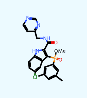 COP(=O)(c1cc(C)cc(C)c1)c1c(C(=O)NCc2ccncn2)[nH]c2ccc(Cl)cc12